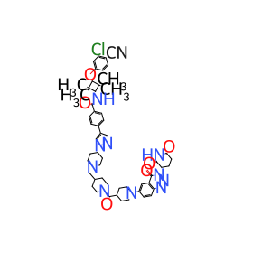 CC1(C)[C@H](NC(=O)c2ccc(-c3cnn(C4CCN(CC5CCN(C(=O)C6CCN(c7ccc8nnn(C9CCC(=O)NC9=O)c(=O)c8c7)CC6)CC5)CC4)c3)cc2)C(C)(C)[C@H]1Oc1ccc(C#N)c(Cl)c1